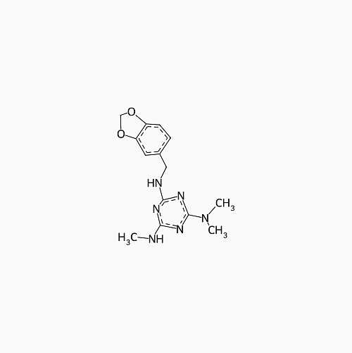 CNc1nc(NCc2ccc3c(c2)OCO3)nc(N(C)C)n1